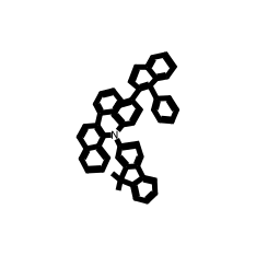 CC1(C)c2ccccc2-c2ccc(N(c3ccc(-c4ccc5ccccc5c4-c4ccccc4)cc3)c3c(-c4ccccc4)ccc4ccccc34)cc21